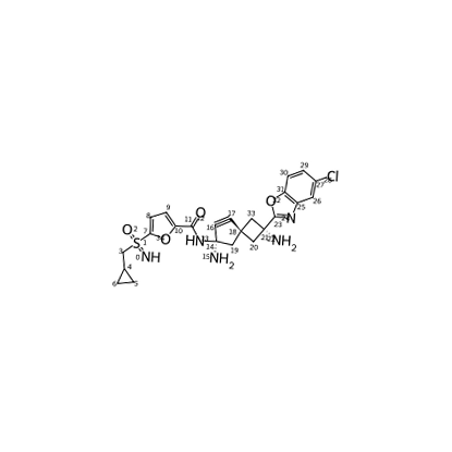 N=S(=O)(CC1CC1)c1ccc(C(=O)N[C@@]2(N)C#C[C@]3(C2)C[C@](N)(c2nc4cc(Cl)ccc4o2)C3)o1